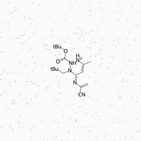 C=C(C#N)/N=C(\C=C(\C)N)N(CC(C)(C)C)NC(=O)OC(C)(C)C